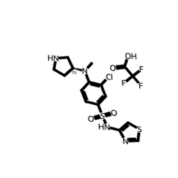 CN(c1ccc(S(=O)(=O)Nc2cscn2)cc1Cl)[C@H]1CCNC1.O=C(O)C(F)(F)F